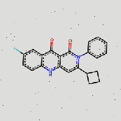 O=c1c2cc(F)ccc2[nH]c2cc(C3CCC3)n(-c3ccccc3)c(=O)c12